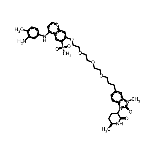 C=C1CCC(n2c(=O)n(C)c3cc(CCCOCCOCCOCCOc4cc5nccc(Nc6ccc(C)c(N)c6)c5cc4S(C)(=O)=O)ccc32)C(=O)N1